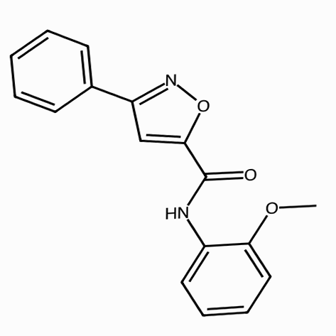 COc1ccccc1NC(=O)c1cc(-c2ccccc2)no1